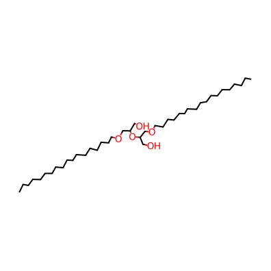 CCCCCCCCCCCCCCCCCCOCC(CO)OC(CO)COCCCCCCCCCCCCCCCCCC